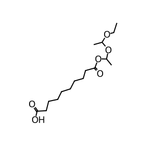 CCOC(C)OC(C)OC(=O)CCCCCCCCC(=O)O